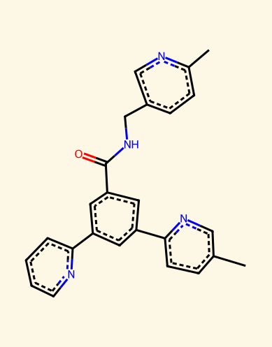 Cc1ccc(-c2cc(C(=O)NCc3ccc(C)nc3)cc(-c3ccccn3)c2)nc1